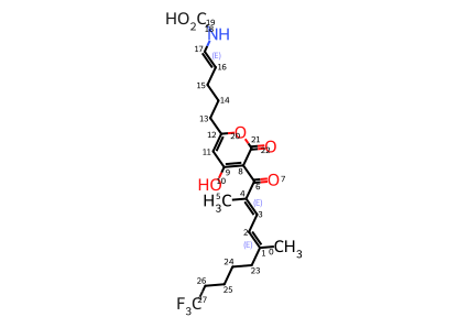 C/C(=C\C=C(/C)C(=O)c1c(O)cc(CCC/C=C/NC(=O)O)oc1=O)CCCCC(F)(F)F